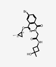 C[C@H]1C[C@@H]1Oc1nn(CC(=O)NC2CC(C)(O)C2)c(=O)c2ccc(Br)cc12